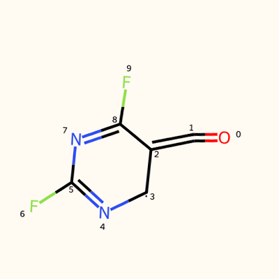 O=C=C1[CH]N=C(F)N=C1F